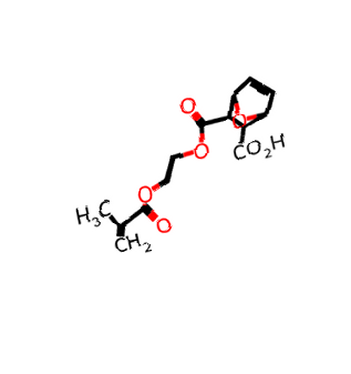 C=C(C)C(=O)OCCOC(=O)C1C2C=CC(O2)C1C(=O)O